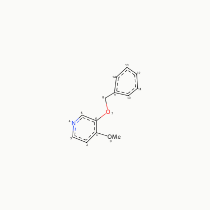 COc1ccncc1OCc1ccccc1